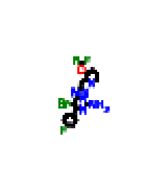 Nc1nc(-c2ccc(F)cc2)c(Br)c2nc(Cc3ncccc3OC(F)F)nn12